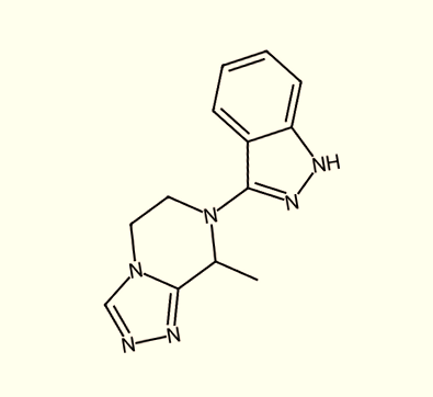 CC1c2nncn2CCN1c1n[nH]c2ccccc12